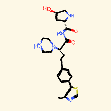 Cc1ncsc1-c1ccc(CC[C@H](C(=O)NC(=O)[C@@H]2C[C@@H](O)CN2)N2CCNCC2)cc1